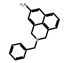 Nc1cc2c3c(cccc3c1)CN(Cc1ccccc1)C2